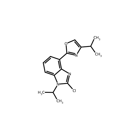 CC(C)c1coc(-c2cccc3c2nc(Cl)n3C(C)C)n1